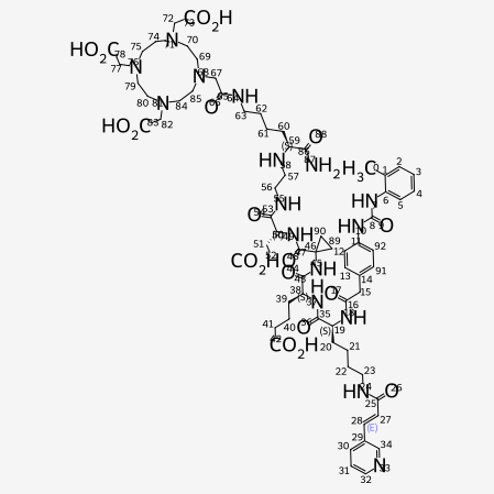 Cc1ccccc1NC(=O)Nc1ccc(CC(=O)N[C@@H](CCCCNC(=O)/C=C/c2cccnc2)C(=O)N[C@@H](CCCC(=O)O)C(=O)NC2(C(=O)N[C@H](CC(=O)O)C(=O)NCCN[C@@H](CCCCNC(=O)CN3CCN(CC(=O)O)CCN(CC(=O)O)CCN(CC(=O)O)CC3)C(N)=O)CC2)cc1